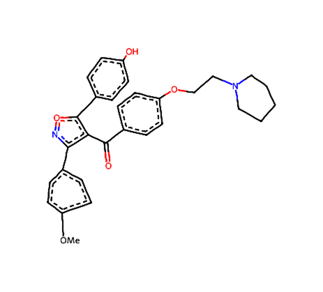 COc1ccc(-c2noc(-c3ccc(O)cc3)c2C(=O)c2ccc(OCCN3CCCCC3)cc2)cc1